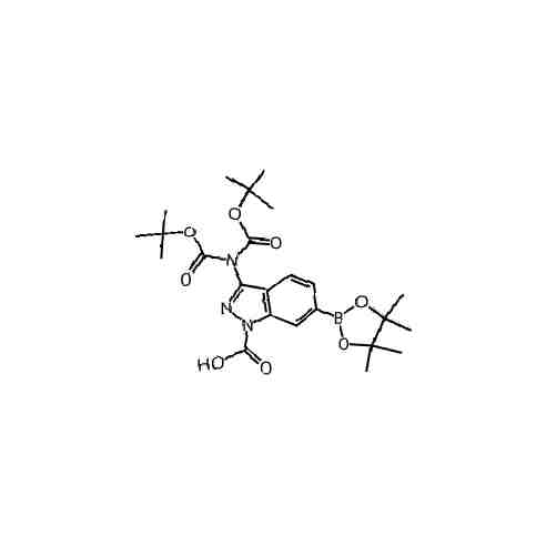 CC(C)(C)OC(=O)N(C(=O)OC(C)(C)C)c1nn(C(=O)O)c2cc(B3OC(C)(C)C(C)(C)O3)ccc12